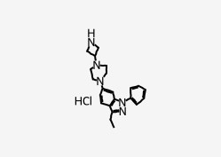 CCc1nn(-c2ccccc2)c2cc(N3CCN(C4CNC4)CC3)ccc12.Cl